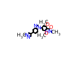 CNC(=O)c1c(OC)cc(-n2cnc3cc(-c4cnn(C)c4)ccc32)cc1OC